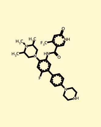 CC1CN(c2cc(F)c(-c3ccc(N4CCNCC4)cc3)cc2NC(=O)c2c[nH]c(=O)cc2C(F)(F)F)CC(C)N1C